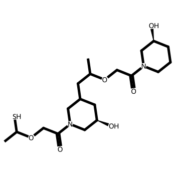 CC(S)OCC(=O)N1CC(CC(C)OCC(=O)N2CCC[C@H](O)C2)C[C@@H](O)C1